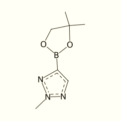 Cn1ncc(B2OCC(C)(C)O2)n1